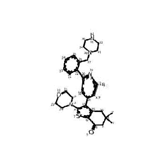 CC1(C)CC(=O)c2sc(N3CCOCC3)c(-c3ccnc(-c4ccccc4CN4CCNCC4)c3)c2C1